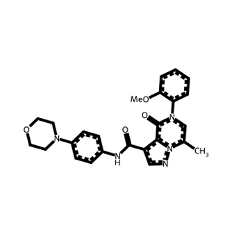 COc1ccccc1-n1cc(C)n2ncc(C(=O)Nc3ccc(N4CCOCC4)cc3)c2c1=O